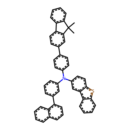 CC1(C)c2ccccc2-c2ccc(-c3ccc(N(c4cccc(-c5cccc6ccccc56)c4)c4ccc5sc6ccccc6c5c4)cc3)cc21